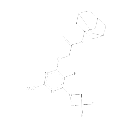 CSc1nc(OCC(=O)NC23CC4CC(CC(C4)C2)C3)c(F)c(N2CC(F)(F)C2)n1